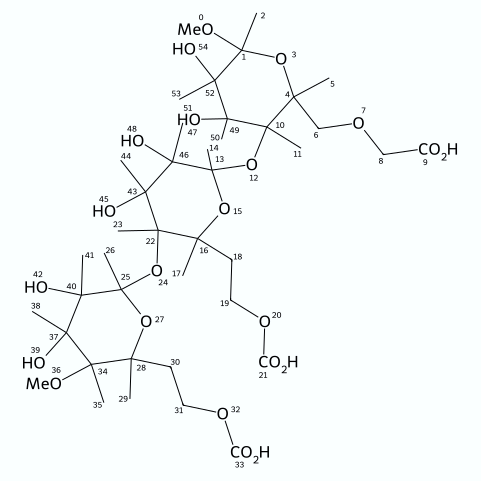 COC1(C)OC(C)(COCC(=O)O)C(C)(OC2(C)OC(C)(CCOC(=O)O)C(C)(OC3(C)OC(C)(CCOC(=O)O)C(C)(OC)C(C)(O)C3(C)O)C(C)(O)C2(C)O)C(C)(O)C1(C)O